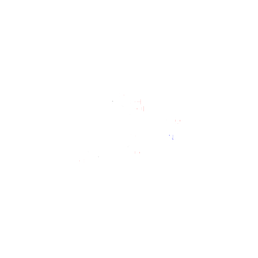 Cc1nc2cc(C3OC(=O)CCC(C)(C)C(=O)C(C)CC(C)CCCC4(C)OC4(O)C3O)ccc2o1